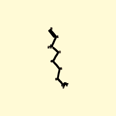 C=C[P]CCCCCCC